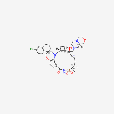 C[C@@H]1[C@@H](C)C/C=C/[C@@](O)(CN2CCN3CCOC[C@@H]3C2)[C@@H]2CC[C@H]2CN2C[C@@]3(CCCc4cc(Cl)ccc43)COc3ccc(cc32)C(=O)NS1(=O)=O